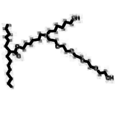 CCCCCCCCC(CCCCCC)C(=O)OCCCCCCN(CCCCCCO)CCOCCOCCOCCOCCO